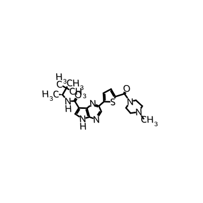 C[C@H](NC(=O)c1c[nH]c2ncc(-c3ccc(C(=O)N4CCN(C)CC4)s3)nc12)C(C)(C)C